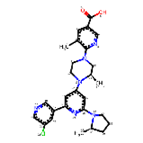 Cc1cc(C(=O)O)cnc1N1CCN(c2cc(-c3cncc(Cl)c3)nc(N3CCC[C@H]3C)c2)[C@H](C)C1